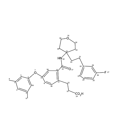 Cc1cc(C)cc(Oc2ccc(CCC(=O)O)c(C(=O)NC3(CCc4cccc(F)c4)CCOCC3)c2)c1